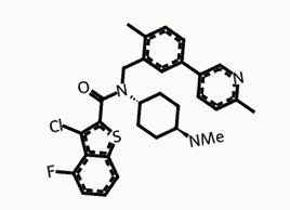 CN[C@H]1CC[C@H](N(Cc2cc(-c3ccc(C)nc3)ccc2C)C(=O)c2sc3cccc(F)c3c2Cl)CC1